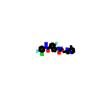 Cc1cccn2cc(COC(=O)N[C@H]3CCc4c(C(=O)Nc5ccc(F)c(Cl)c5)ccc(F)c43)nc12